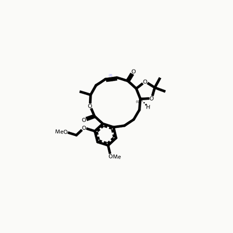 COCOc1cc(OC)cc2c1C(=O)OC(C)C/C=C\C(=O)C1OC(C)(C)O[C@H]1CCC2